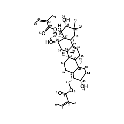 C/C=C(/C)C(=O)OC[C@@H]1C2CC[C@]3(C)C(CC=C4C5CC(C)(C)[C@@H](O)[C@H](O)[C@]5(COC(=O)/C(C)=C\C)[C@H](O)C[C@]43C)[C@@]2(C)CC[C@@H]1O